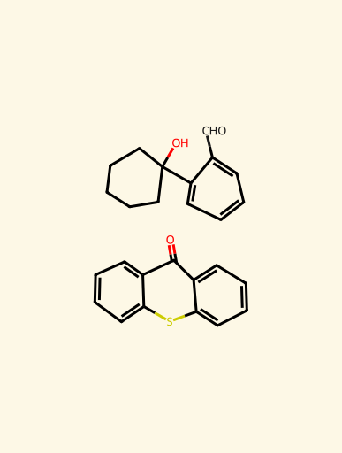 O=Cc1ccccc1C1(O)CCCCC1.O=c1c2ccccc2sc2ccccc12